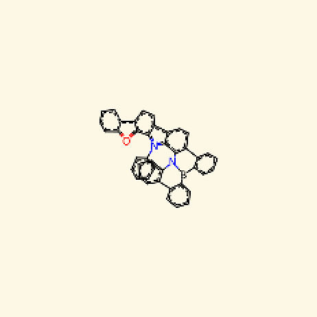 c1ccc(-n2c3c4c(ccc3c3ccc5c6ccccc6oc5c32)-c2ccccc2B2c3ccccc3-c3ccccc3N24)cc1